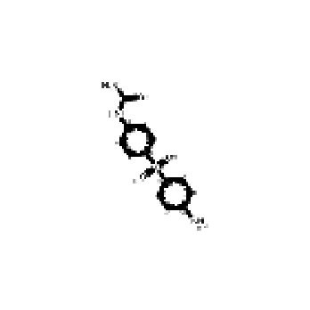 NC(=O)Nc1ccc(S(=O)(=O)c2ccc(N)cc2)cc1